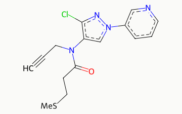 C#CCN(C(=O)CCSC)c1cn(-c2cccnc2)nc1Cl